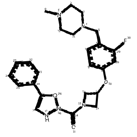 CN1CCN(Cc2ccc(OC3CN(C(=O)N4NC=C(c5ccccc5)O4)C3)cc2F)CC1